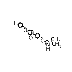 CC(C)[C@@H]1C[C@@H](OCc2ccc(-n3ccc(OCc4ccc(F)cc4)cc3=O)cc2)CN1